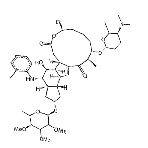 CC[C@H]1CCC[C@H](O[C@H]2CC[C@H](N(C)C)C(C)O2)[C@@H](C)C(=O)C2=C[C@H]3[C@@H]4C[C@H](O[C@@H]5OC(C)[C@H](OC)C(OC)C5OC)C[C@H]4[C@H](Nc4ccccc4C)[C@@H](O)[C@H]3[C@@H]2CC(=O)O1